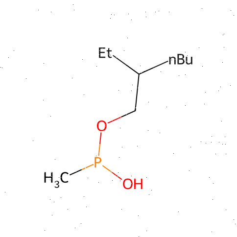 CCCCC(CC)COP(C)O